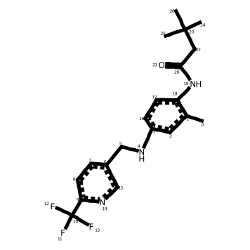 Cc1cc(NCc2ccc(C(F)(F)F)nc2)ccc1NC(=O)CC(C)(C)C